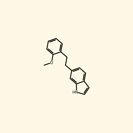 COc1ccccc1CCc1ccc2cc[nH]c2c1